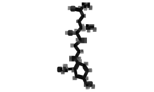 NC(=O)CC[C@H](N)C(=O)NCCNc1ccc([N+](=O)[O-])cc1[N+](=O)[O-]